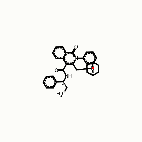 CC[C@H](NC(=O)c1c(CN2CC3CCC(CC3)C2)n(-c2ccccc2)c(=O)c2ccccc12)c1ccccc1